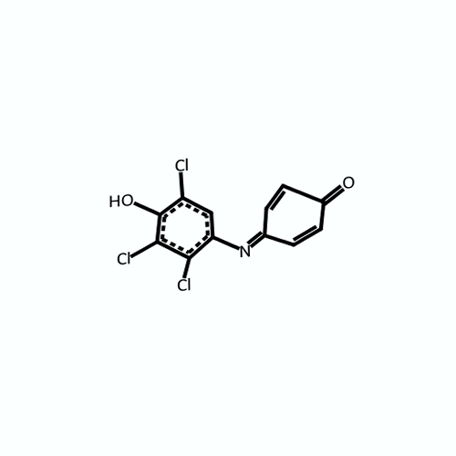 O=C1C=CC(=Nc2cc(Cl)c(O)c(Cl)c2Cl)C=C1